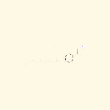 CCCCCCCCOc1ccc(C(C)CN)cc1.Cl